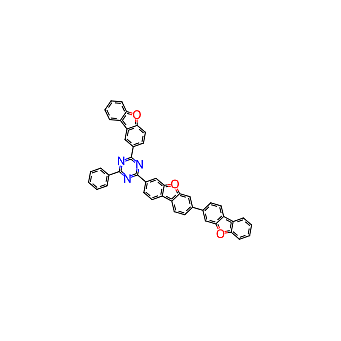 c1ccc(-c2nc(-c3ccc4c(c3)oc3cc(-c5ccc6c(c5)oc5ccccc56)ccc34)nc(-c3ccc4oc5ccccc5c4c3)n2)cc1